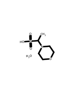 CC(N1CCOCC1)S(=O)(=O)O.O